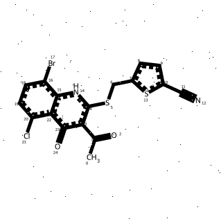 CC(=O)c1c(SCc2ccc(C#N)s2)[nH]c2c(Br)ccc(Cl)c2c1=O